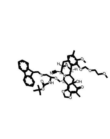 COCCOCOc1c(OC)c(C)cc2c1[C@H]1C3CC4(O)C(=O)C(C)=C5OCOC5=C4[C@H](COC(CSCC4c5ccccc5-c5ccccc54)NC(=O)OC(C)(C)C)N3[C@@H](C#N)[C@@H](C2)N1C